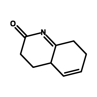 O=C1CCC2C=CCCC2=N1